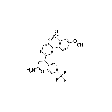 COc1ccc(-c2ccnc(C(CC(N)=O)c3ccc(C(F)(F)F)cc3)c2)c([N+](=O)[O-])c1